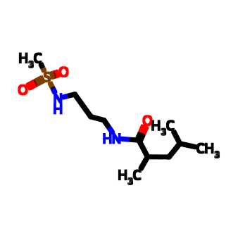 CC(C)CC(C)C(=O)NCCCNS(C)(=O)=O